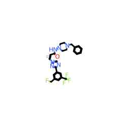 O=C(/C=C\n1cnc(-c2cc(CF)cc(C(F)(F)F)c2)n1)NN1CCN(Cc2ccccc2)CC1